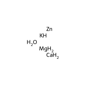 O.[CaH2].[KH].[MgH2].[Zn]